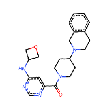 O=C(c1cc(NC2COC2)ncn1)N1CCC(N2CCc3ccccc3C2)CC1